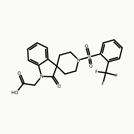 O=C(O)CN1C(=O)C2(CCN(S(=O)(=O)c3ccccc3C(F)(F)F)CC2)c2ccccc21